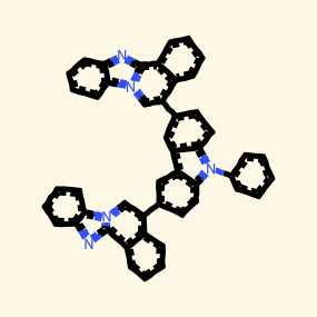 c1ccc(-n2c3ccc(-c4cn5c6ccccc6nc5c5ccccc45)cc3c3cc(-c4cn5c6ccccc6nc5c5ccccc45)ccc32)cc1